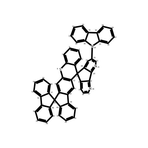 c1ccc2c(c1)Sc1cc3c(cc1C21c2cccnc2-c2ncc(-n4c5ccccc5c5ccccc54)cc21)-c1ccccc1C31c2ccccc2-c2ccccc21